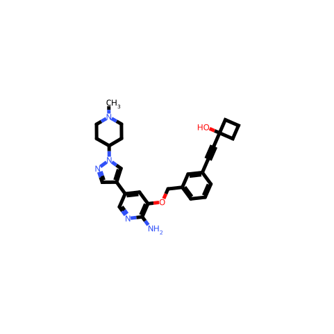 CN1CCC(n2cc(-c3cnc(N)c(OCc4cccc(C#CC5(O)CCC5)c4)c3)cn2)CC1